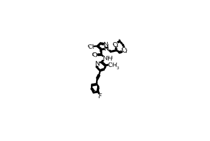 Cc1cc(C#Cc2cccc(F)c2)cnc1NC(=O)c1c(Cl)cnn1CC1COCCO1